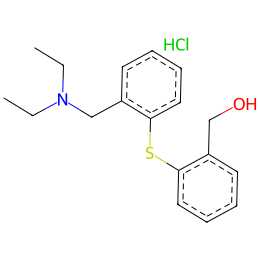 CCN(CC)Cc1ccccc1Sc1ccccc1CO.Cl